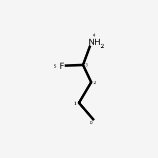 CCCC(N)F